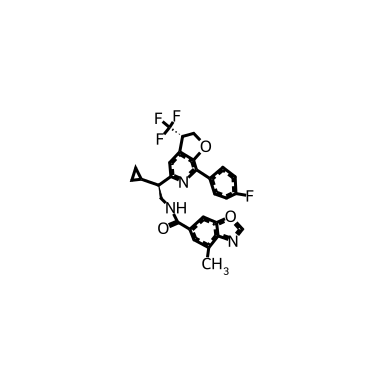 Cc1cc(C(=O)NC[C@H](c2cc3c(c(-c4ccc(F)cc4)n2)OC[C@H]3C(F)(F)F)C2CC2)cc2ocnc12